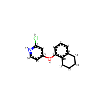 Clc1cc(Oc2cccc3c2CCCC3)ccn1